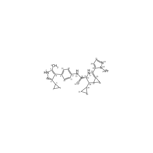 Cc1[nH]nc(C2CC2)c1-c1ccc(NC(=O)[C@H]2NC(c3ccnn3C(C)C)=C3CC3C2C2CC2)cc1